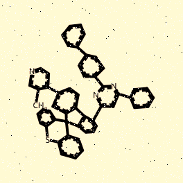 Cc1cnccc1-c1ccc2c(c1)C1(c3ccccc3Sc3ccccc31)c1cccc(-c3cc(-c4ccccc4)nc(-c4ccc(-c5ccccc5)cc4)n3)c1-2